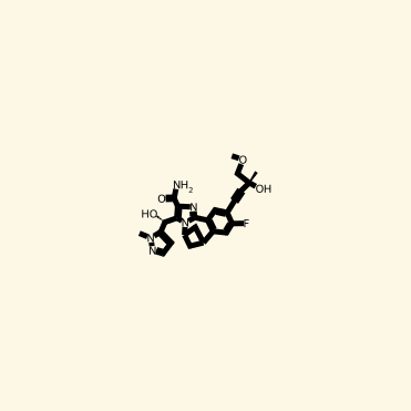 COC[C@](C)(O)C#Cc1cc2c(cc1F)C1CC(C1)n1c-2nc(C(N)=O)c1[C@@H](O)c1ccnn1C